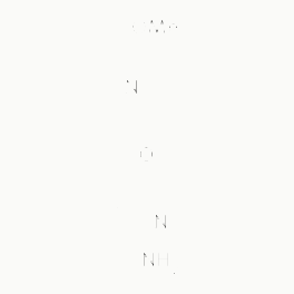 COCCN1CCC(OCc2ccc(N)nc2)CC1